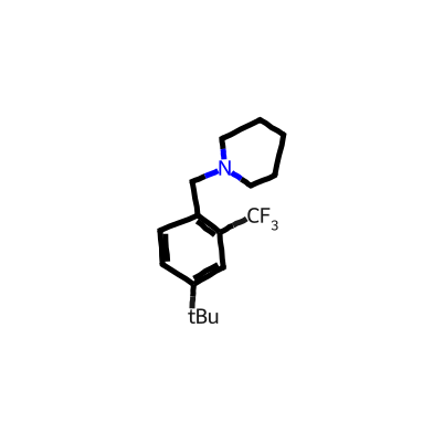 CC(C)(C)c1ccc(CN2CCCCC2)c(C(F)(F)F)c1